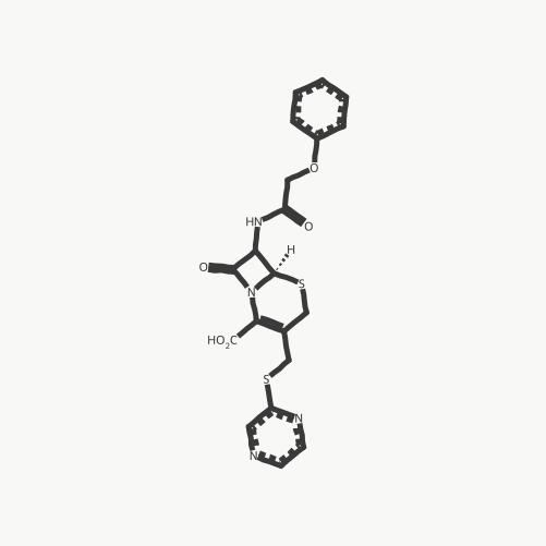 O=C(COc1ccccc1)NC1C(=O)N2C(C(=O)O)=C(CSc3cnccn3)CS[C@H]12